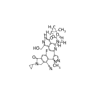 [2H]C([2H])([2H])N(C(=O)OC(C)(C)C)c1nc(-c2cnn(C)c2-c2c(F)cc3c(c2C#N)CN(C2CC2)C3=O)cc2c(CO)n[nH]c(=O)c12